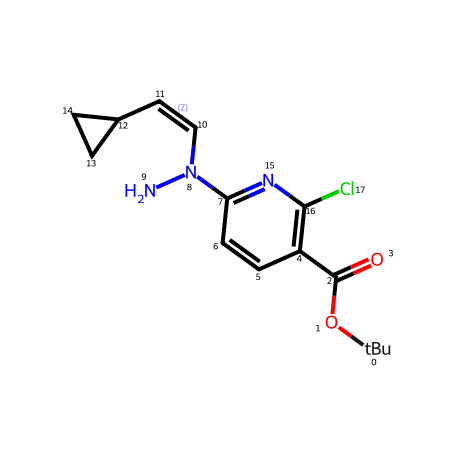 CC(C)(C)OC(=O)c1ccc(N(N)/C=C\C2CC2)nc1Cl